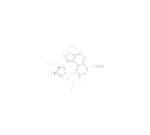 COc1cc(OC(F)F)cc2c1nnc1c(C)nc(-c3c(C)n[nH]c3C)n12